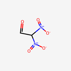 O=CC([N+](=O)[O-])[N+](=O)[O-]